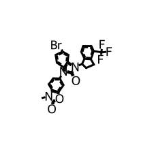 Cn1c(=O)oc2cc(-n3c(=O)n(C4CCc5c4cccc5C(F)(F)F)c4cc(Br)ccc43)ccc21